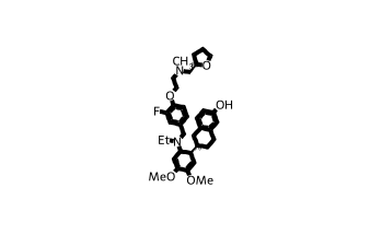 CCN(Cc1ccc(OCCN(C)C[C@H]2CCCO2)c(F)c1)C1C=C(OC)C(OC)=CC1[C@@H]1CCc2cc(O)ccc2C1